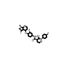 Cn1nc(I)c2c(Oc3ccc(NC(=O)c4ccnn(-c5ccc(F)cc5)c4=O)cc3F)ccnc21